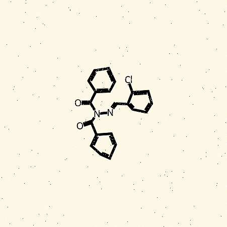 O=C(c1ccccc1)N(N=Cc1ccccc1Cl)C(=O)c1ccccc1